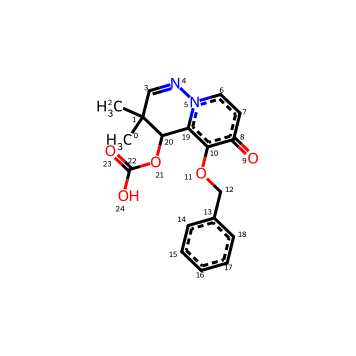 CC1(C)C=Nn2ccc(=O)c(OCc3ccccc3)c2C1OC(=O)O